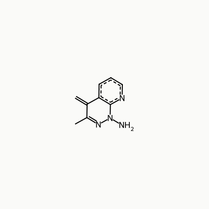 C=C1C(C)=NN(N)c2ncccc21